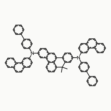 CC1(C)c2cc(N(c3ccc(-c4ccccc4)cc3)c3ccc4ccc5ccccc5c4c3)ccc2-c2cc3ccc(N(c4ccc(-c5ccccc5)cc4)c4ccc5ccc6ccccc6c5c4)cc3c3cccc1c23